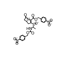 CC(NC(=O)OCc1ccc([N+](=O)[O-])cc1)[S+]([O-])C1=C(C(=O)OCc2ccc([N+](=O)[O-])cc2)N2C(=O)CC2C1